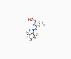 CCC(C=NO)=NNc1c(F)cccc1F